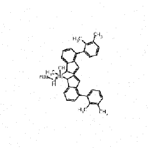 CCCC[SiH]=[Hf]([CH3])([CH3])([CH]1C=Cc2c(-c3cccc(C)c3C)cccc21)[CH]1C=Cc2c(-c3cccc(C)c3C)cccc21